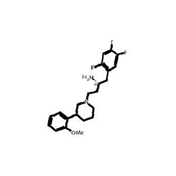 COc1ccccc1C1CCCN(CC[C@H](N)Cc2cc(F)c(F)cc2F)C1